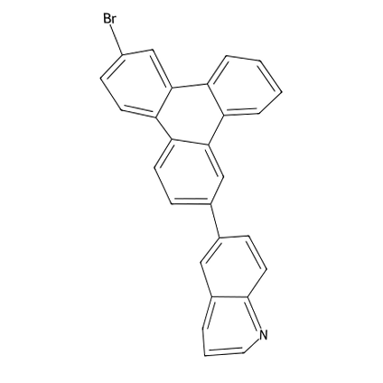 Brc1ccc2c3ccc(-c4ccc5ncccc5c4)cc3c3ccccc3c2c1